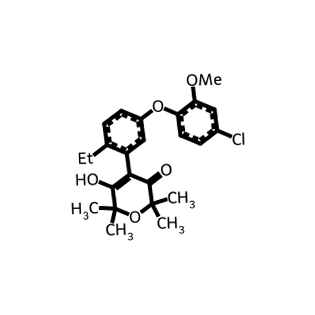 CCc1ccc(Oc2ccc(Cl)cc2OC)cc1C1=C(O)C(C)(C)OC(C)(C)C1=O